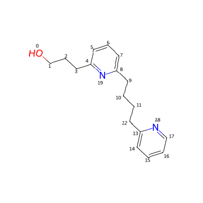 OCCCc1cccc(CCCCc2ccccn2)n1